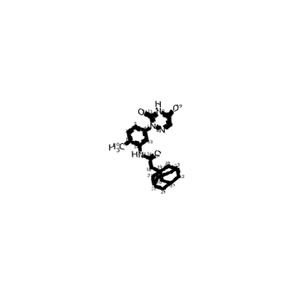 Cc1ccc(-n2ncc(=O)[nH]c2=O)cc1NC(=O)CC12CC3CC(CC(C3)C1)C2